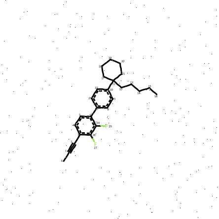 CC#Cc1ccc(-c2ccc(C3(CCCCC)CCCCC3)cc2)c(F)c1F